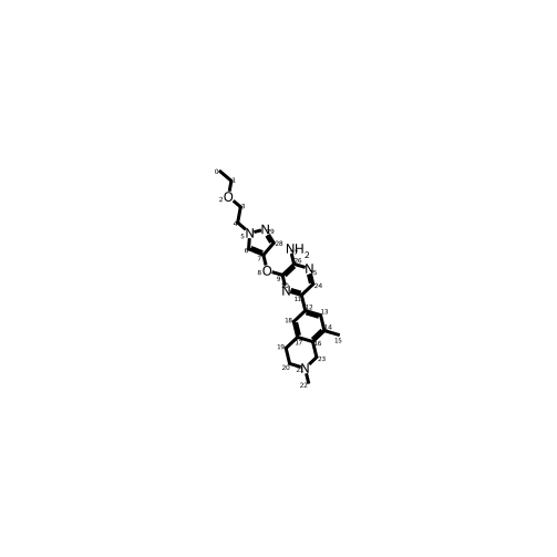 CCOCCn1cc(Oc2nc(-c3cc(C)c4c(c3)CCN(C)C4)cnc2N)cn1